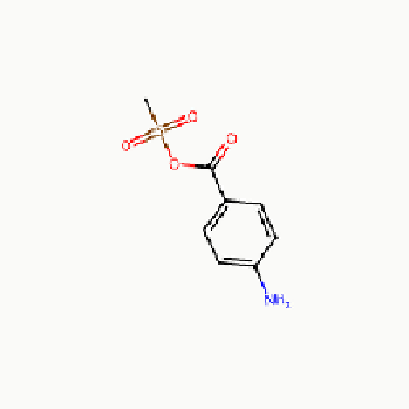 CS(=O)(=O)OC(=O)c1ccc(N)cc1